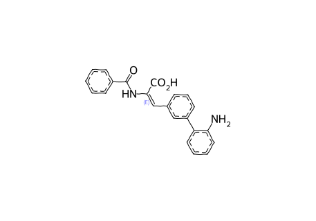 Nc1ccccc1-c1cccc(/C=C(/NC(=O)c2ccccc2)C(=O)O)c1